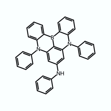 c1ccc(Nc2cc3c4c(c2)N(c2ccccc2)c2ccccc2B4c2ccccc2N3c2ccccc2)cc1